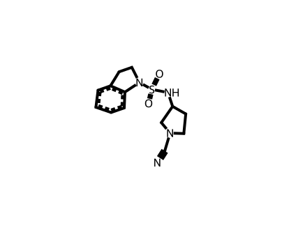 N#CN1CCC(NS(=O)(=O)N2CCc3ccccc32)C1